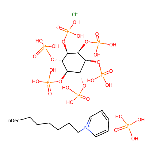 CCCCCCCCCCCCCCCC[n+]1ccccc1.O=P(O)(O)O.O=P(O)(O)O[C@H]1[C@H](OP(=O)(O)O)[C@@H](OP(=O)(O)O)[C@H](OP(=O)(O)O)[C@@H](OP(=O)(O)O)[C@H]1OP(=O)(O)O.[Cl-]